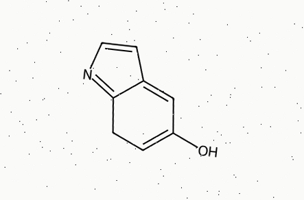 OC1=CCC2=NC=CC2=C1